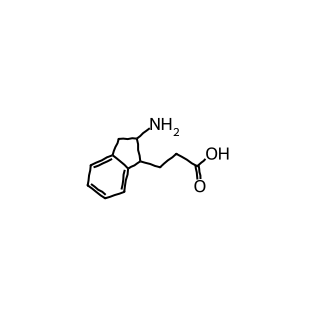 NC1Cc2ccccc2C1CCC(=O)O